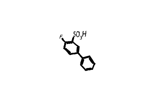 O=S(=O)(O)c1cc(-c2ccccc2)ccc1F